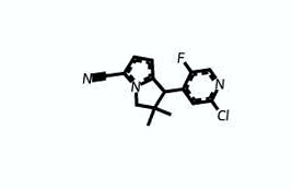 CC1(C)Cn2c(C#N)ccc2C1c1cc(Cl)ncc1F